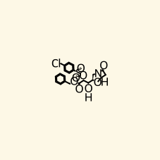 O=C(OCc1ccccc1)[C@H](OS(=O)(=O)c1ccc(Cl)cc1)[C@@H](O)[C@H]1CN2C(=O)C[C@@H]2O1